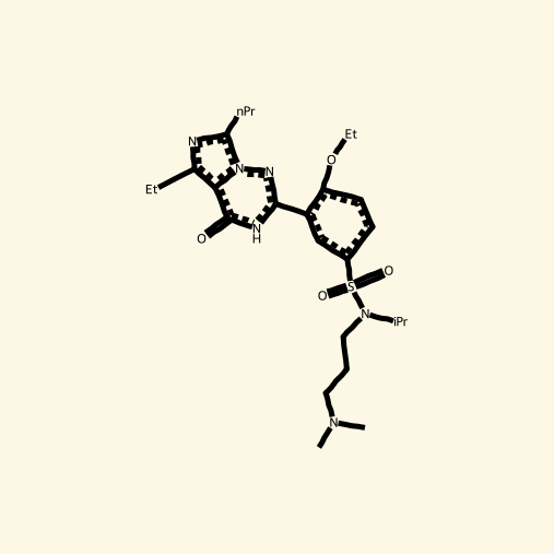 CCCc1nc(CC)c2c(=O)[nH]c(-c3cc(S(=O)(=O)N(CCCN(C)C)C(C)C)ccc3OCC)nn12